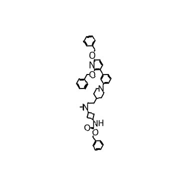 CN(CCC1CCN(c2cccc(-c3ccc(OCc4ccccc4)nc3OCc3ccccc3)c2)CC1)C1CC(NC(=O)OCc2ccccc2)C1